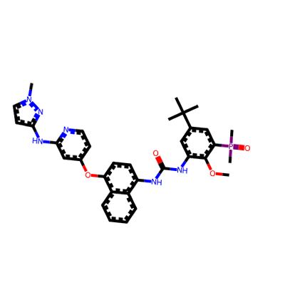 COc1c(NC(=O)Nc2ccc(Oc3ccnc(Nc4ccn(C)n4)c3)c3ccccc23)cc(C(C)(C)C)cc1P(C)(C)=O